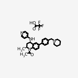 CC(=O)N1c2ccc(-c3ccc(CN4CCCCC4)cc3)cc2[C@H](Nc2ccncc2)C[C@@H]1C.O=C(O)C(F)(F)F